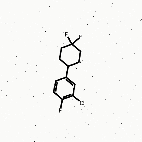 Fc1ccc(C2[CH]CC(F)(F)CC2)cc1Cl